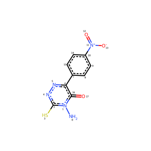 Nn1c(S)nnc(-c2ccc([N+](=O)[O-])cc2)c1=O